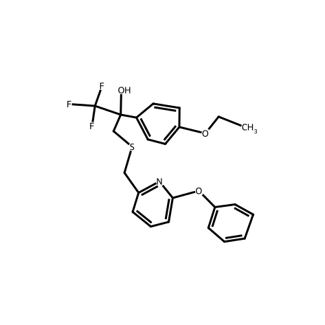 CCOc1ccc(C(O)(CSCc2cccc(Oc3ccccc3)n2)C(F)(F)F)cc1